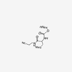 CCCCCCOC(=O)NC(CSC)C(=O)NCCC#N